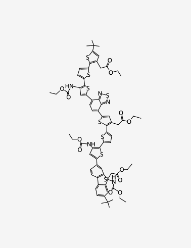 CCOC(=O)Cc1cc(-c2ccc(-c3cc(NC(=O)OCC)c(-c4ccc(-c5sc(C(C)(C)C)cc5CC(=O)OCC)s4)s3)c3nsnc23)sc1-c1ccc(-c2sc(-c3ccc4c(c3)[Si](CC(=O)OCC)(NC(=O)OCC)c3cc(C(C)(C)C)ccc3-4)cc2NC(=O)OCC)s1